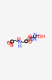 COc1ccc(CCC(=O)NCCc2ccc(S(=O)(=O)NC(=O)c3ccc(CO)nc3)cc2)cc1OC